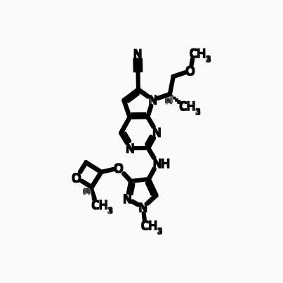 COC[C@H](C)n1c(C#N)cc2cnc(Nc3cn(C)nc3OC3CO[C@@H]3C)nc21